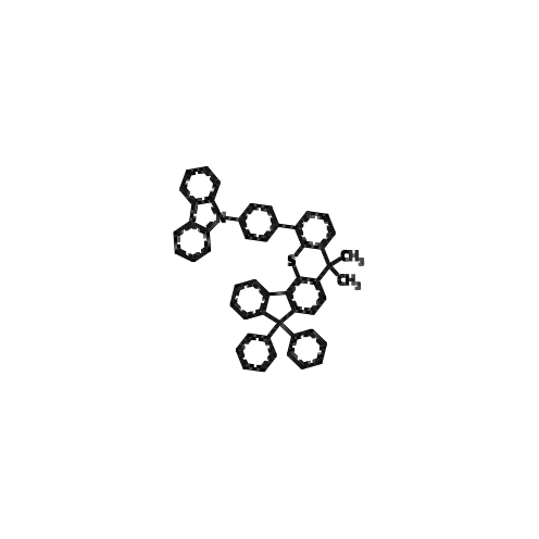 CC1(C)c2cccc(-c3ccc(-n4c5ccccc5c5ccccc54)cc3)c2Sc2c1ccc1c2-c2ccccc2C1(c1ccccc1)c1ccccc1